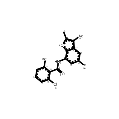 CC(=O)c1c(C)oc2c(NC(=O)c3c(Cl)cccc3Cl)cc(F)cc12